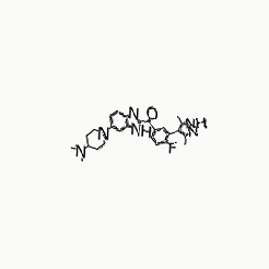 Cc1n[nH]c(C)c1-c1cc(C(=O)c2nc3ccc(N4CCC(N(C)C)CC4)cc3[nH]2)ccc1F